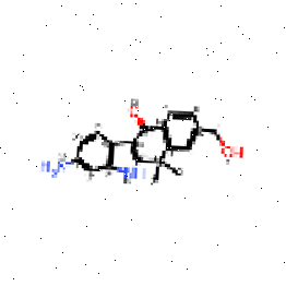 CC1(C)c2cc(CO)ccc2C(=O)c2c1[nH]c1cc(N)ccc21